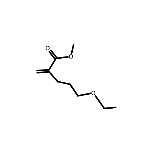 C=C(CCCOCC)C(=O)OC